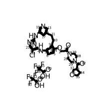 O=C(COc1ccc2cc1CCc1cncc(c1)Nc1ncc(Cl)c(n1)N2)N1CCN(C(=O)C2CCOC2)CC1.O=C(O)C(F)(F)F.O=C(O)C(F)(F)F